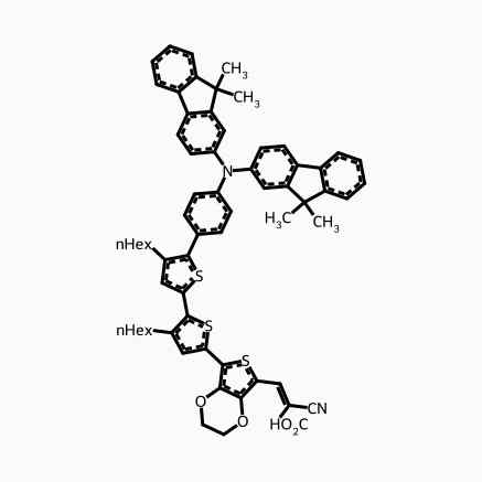 CCCCCCc1cc(-c2sc(-c3sc(/C=C(/C#N)C(=O)O)c4c3OCCO4)cc2CCCCCC)sc1-c1ccc(N(c2ccc3c(c2)C(C)(C)c2ccccc2-3)c2ccc3c(c2)C(C)(C)c2ccccc2-3)cc1